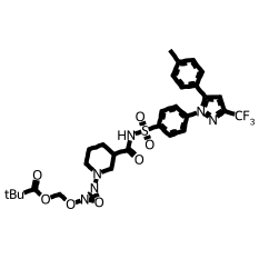 Cc1ccc(-c2cc(C(F)(F)F)nn2-c2ccc(S(=O)(=O)NC(=O)C3CCCN(n4on4OCOC(=O)C(C)(C)C)C3)cc2)cc1